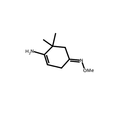 CON=C1CC=C(N)C(C)(C)C1